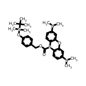 CN(C)c1ccc2c(c1)Oc1cc(N(C)C)ccc1N2C(=O)OCc1ccc(O[Si](C)(C)C(C)(C)C)cc1